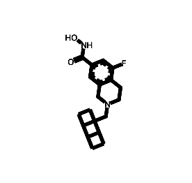 O=C(NO)c1cc(F)c2c(c1)CN(CC13C4C5C6C4C1C6C53)CC2